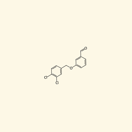 O=Cc1cccc(OCc2ccc(Cl)c(Cl)c2)c1